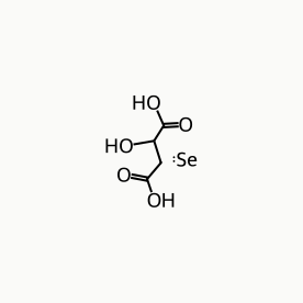 O=C(O)CC(O)C(=O)O.[Se]